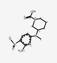 CN(c1ccc([N+](=O)[O-])c(N)n1)C1CCCN(C(=O)O)C1